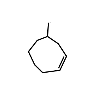 [CH2]C1C/C=C\CCCC1